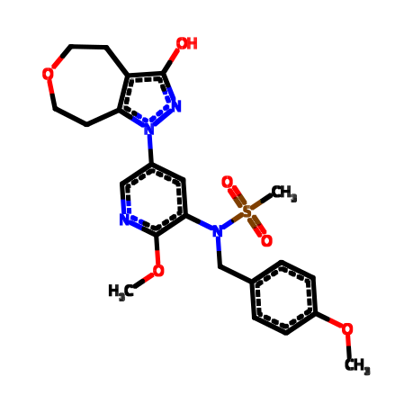 COc1ccc(CN(c2cc(-n3nc(O)c4c3CCOCC4)cnc2OC)S(C)(=O)=O)cc1